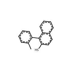 Cc1ccccc1-c1c(S)ccc2ccccc12